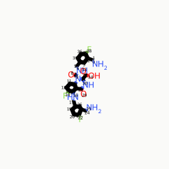 NCc1cc(CNC(=O)N2c3ccc(F)c(NCc4ccc(F)c(CN)c4)c3C(=O)NC2C(=O)O)ccc1F